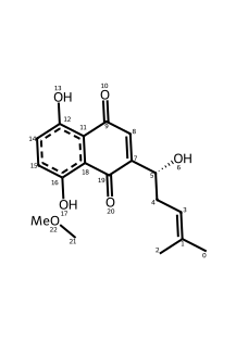 CC(C)=CC[C@@H](O)C1=CC(=O)c2c(O)ccc(O)c2C1=O.COC